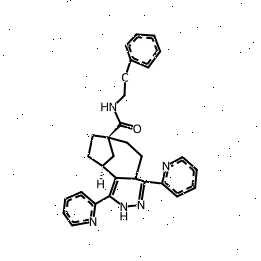 O=C(NCCc1ccccc1)[C@]12CCC3C(c4ccccn4)=NNC(c4ccccn4)=C3[C@@H](CC1)C2